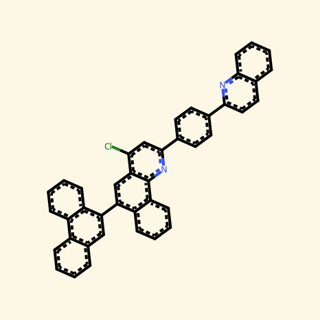 Clc1cc(-c2ccc(-c3ccc4ccccc4n3)cc2)nc2c1cc(-c1cc3ccccc3c3ccccc13)c1ccccc12